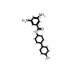 CCC1CCC(C2CCC(OC(=O)c3cc(N)cc(N)c3)CC2)CC1